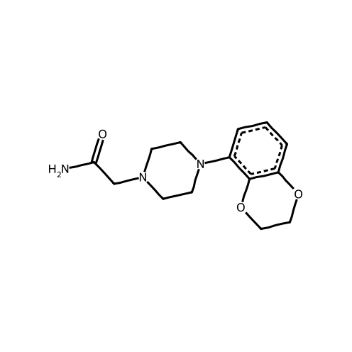 NC(=O)CN1CCN(c2cccc3c2OCCO3)CC1